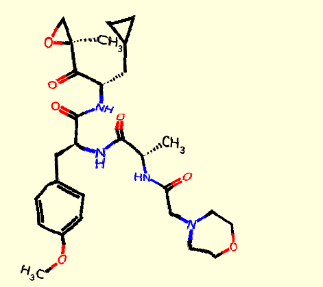 COc1ccc(C[C@H](NC(=O)[C@H](C)NC(=O)CN2CCOCC2)C(=O)N[C@@H](CC2CC2)C(=O)[C@]2(C)CO2)cc1